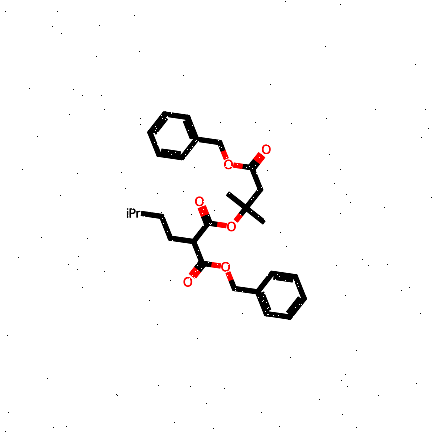 CC(C)CCC(C(=O)OCc1ccccc1)C(=O)OC(C)(C)CC(=O)OCc1ccccc1